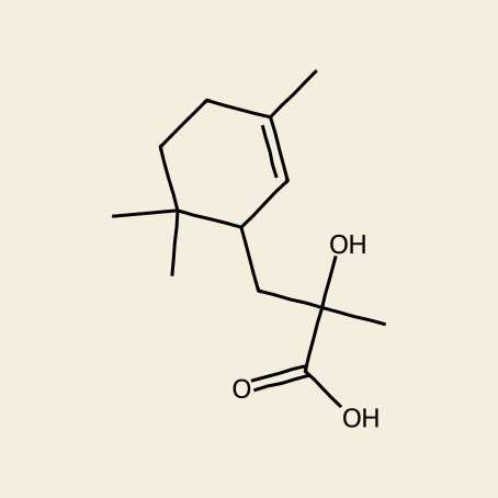 CC1=CC(CC(C)(O)C(=O)O)C(C)(C)CC1